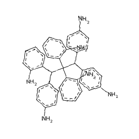 Nc1ccc(C(c2ccc(N)cc2)C(c2ccccc2N)(c2ccccc2N)C(c2ccc(N)cc2)c2ccccc2N)cc1